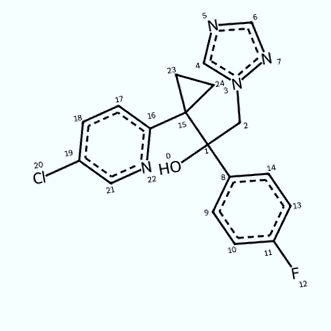 OC(Cn1cncn1)(c1ccc(F)cc1)C1(c2ccc(Cl)cn2)CC1